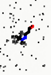 CN(N=CCC=O)[Si](C)(C)C